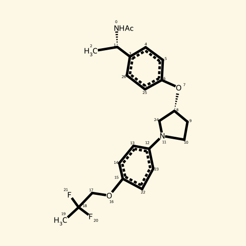 CC(=O)N[C@@H](C)c1ccc(O[C@@H]2CCN(c3ccc(OCC(C)(F)F)cc3)C2)cc1